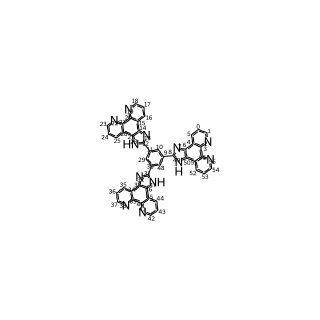 c1cnc2c(c1)c1nc(-c3cc(-c4nc5c6cccnc6c6ncccc6c5[nH]4)cc(-c4nc5c6cccnc6c6ncccc6c5[nH]4)c3)[nH]c1c1cccnc12